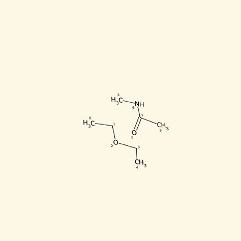 CCOCC.CNC(C)=O